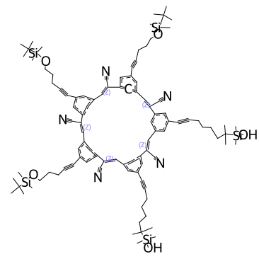 CC(C)(CCCCC#Cc1cc2cc(c1)/C(C#N)=C/c1cc(C#CCCCO[Si](C)(C)C(C)(C)C)cc(c1)/C(C#N)=C/c1cc(C#CCCCO[Si](C)(C)C(C)(C)C)cc(c1)/C(C#N)=C/c1cc(C#CCCCO[Si](C)(C)C(C)(C)C)cc(c1)/C(C#N)=C/c1cc(C#CCCCCC(C)(C)[Si](C)(C)O)cc(c1)/C(C#N)=C/2)[Si](C)(C)O